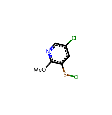 COc1ncc(Cl)cc1SCl